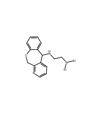 CCN(CC)CCNC1c2ccccc2SCc2ncccc21